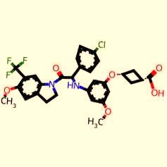 COc1cc(NC(C(=O)N2CCc3cc(OC)c(C(F)(F)F)cc32)c2ccc(Cl)cc2)cc(O[C@H]2C[C@@H](C(=O)O)C2)c1